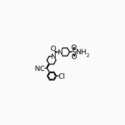 N#CC(=C1CCN(C(=O)N2CCC(S(N)(=O)=O)CC2)CC1)c1cccc(Cl)c1